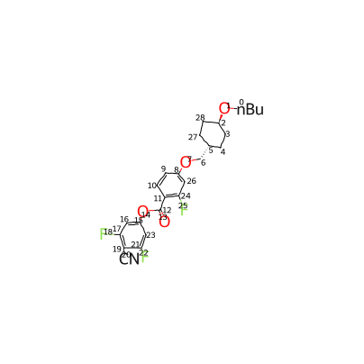 CCCCO[C@H]1CC[C@H](COc2ccc(C(=O)Oc3cc(F)c(C#N)c(F)c3)c(F)c2)CC1